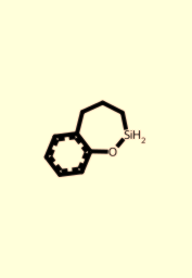 c1ccc2c(c1)CCC[SiH2]O2